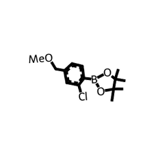 COCc1ccc(B2OC(C)(C)C(C)(C)O2)c(Cl)c1